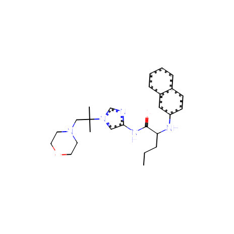 CCCC(Nc1ccc2ccccc2c1)C(=O)Nc1cn(C(C)(C)CN2CCOCC2)cn1